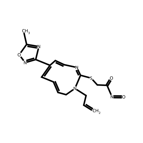 C=CCN1C/C=C/C=C(c2noc(C)n2)\C=C\N=C/1SCC(=O)N=O